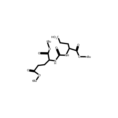 CCCCOC(=O)C(CCC(=O)O)NC(=O)NC(CCC(=O)OC(C)(C)C)C(=O)OC(C)(C)C